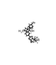 CC(C)c1ccc(C(O)(c2cncc(-c3nc(C(C)(C)O)n(C(C)C)n3)c2)C2(C)CN(C)C2)cc1